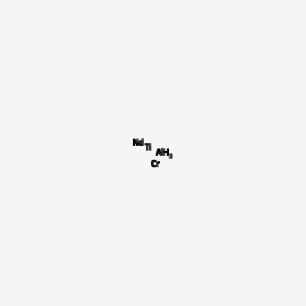 [AlH3].[Cr].[Nd].[Ti]